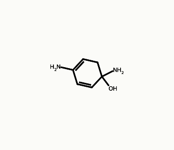 NC1=CCC(N)(O)C=C1